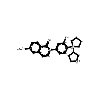 CCCCCc1ccc2c(=O)n(-c3ccc([N+]4([C@@H]5CCNC5)CCCC4)c(F)c3)ccc2c1